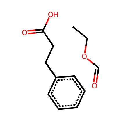 CCOC=O.O=C(O)CCc1ccccc1